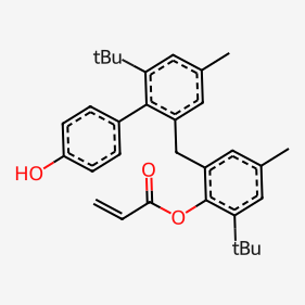 C=CC(=O)Oc1c(Cc2cc(C)cc(C(C)(C)C)c2-c2ccc(O)cc2)cc(C)cc1C(C)(C)C